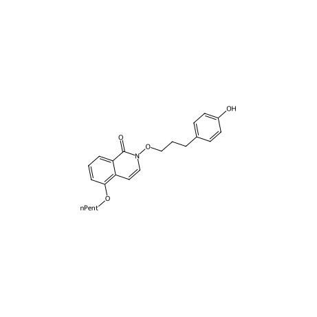 CCCCCOc1cccc2c(=O)n(OCCCc3ccc(O)cc3)ccc12